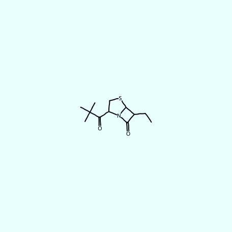 CCC1C(=O)N2C(C(=O)C(C)(C)C)CSC12